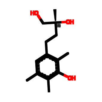 Cc1cc(CC[C@](C)(O)CO)c(C)c(O)c1C